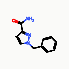 NC(=O)c1[c]cn(Cc2ccccc2)n1